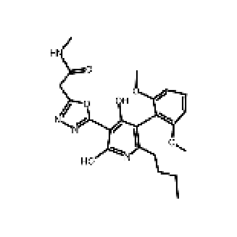 CCCCc1nc(O)c(-c2nnc(CC(=O)NC)o2)c(O)c1-c1c(OC)cccc1OC